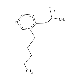 [CH2]CCCCc1cnccc1OC(C)C